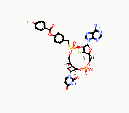 Nc1ncnc2c1ncn2[C@@H]1O[C@@H]2COP(=O)(O)O[C@@H]3[C@H](F)[C@@H](CO[P@@](=O)(SCc4ccc(OC(=O)c5ccc(O)cc5)cc4)O[C@@H]1[C@@H]2F)O[C@H]3n1ccc(=O)[nH]c1=O